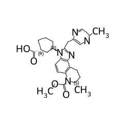 COC(=O)N1c2ccc3c(nc(Cc4cnc(C)cn4)n3[C@@H]3CCC[C@@H](C(=O)O)C3)c2CC[C@@H]1C